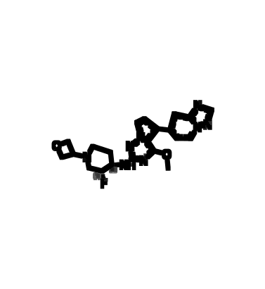 COc1nc(N[C@@H]2CCN(C3COC3)C[C@H]2F)nn2ccc(-c3ccn4ncnc4c3)c12